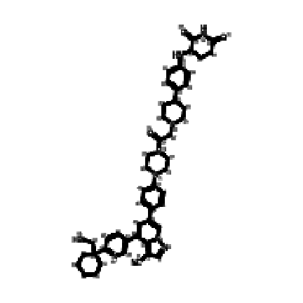 N#Cc1cnn2cc(-c3ccc(N4CCN(C(=O)CN5CCC(c6ccc(NC7CCC(=O)NC7=O)cc6)CC5)CC4)cc3)cc(-c3ccc(C4(CO)CCCCC4)nc3)c12